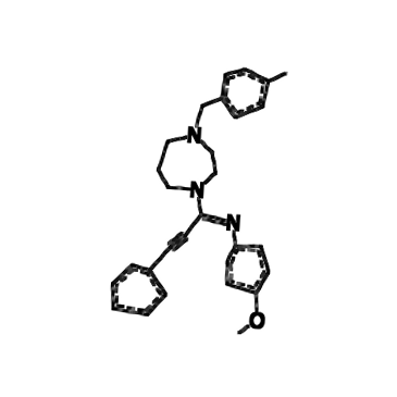 COc1ccc(N=C(C#Cc2ccccc2)N2CCCN(Cc3ccc(C)cc3)CC2)cc1